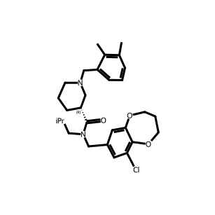 Cc1cccc(CN2CCC[C@@H](C(=O)N(Cc3cc(Cl)c4c(c3)OCCCO4)CC(C)C)C2)c1C